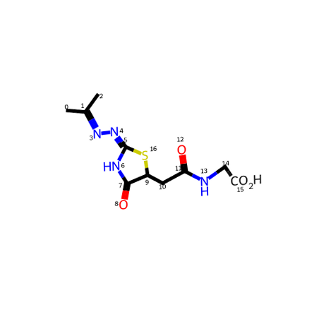 CC(C)=N/N=C1\NC(=O)C(CC(=O)NCC(=O)O)S1